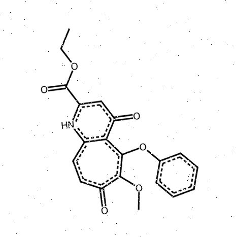 CCOC(=O)c1cc(=O)c2c(Oc3ccccc3)c(OC)c(=O)ccc2[nH]1